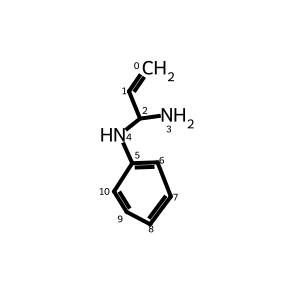 C=CC(N)Nc1ccccc1